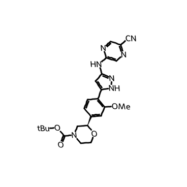 COc1cc([C@@H]2CN(C(=O)OC(C)(C)C)CCO2)ccc1-c1cc(Nc2cnc(C#N)cn2)n[nH]1